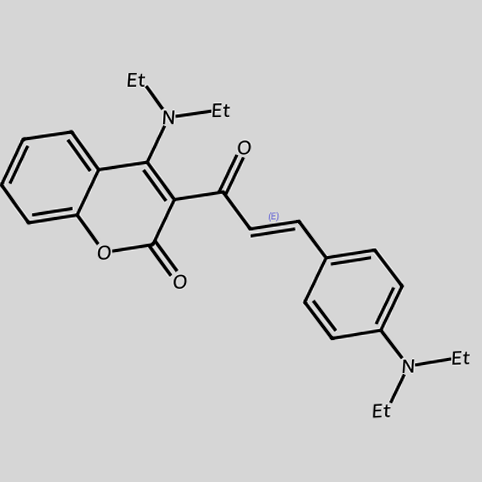 CCN(CC)c1ccc(/C=C/C(=O)c2c(N(CC)CC)c3ccccc3oc2=O)cc1